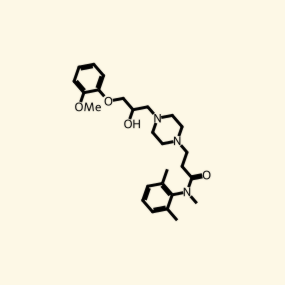 COc1ccccc1OCC(O)CN1CCN(CCC(=O)N(C)c2c(C)cccc2C)CC1